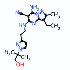 CCc1c(C)nn2c(N)c(C#N)c(NCCc3ccn(C(C)(C)CO)n3)nc12